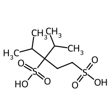 CC(C)C(CCS(=O)(=O)O)(C(C)C)S(=O)(=O)O